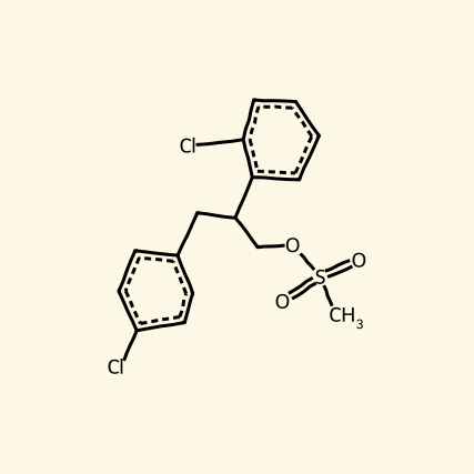 CS(=O)(=O)OCC(Cc1ccc(Cl)cc1)c1ccccc1Cl